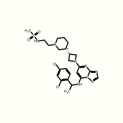 CC(Nc1cc(N2CC([C@H]3CCCN(CCNS(C)(=O)=O)C3)C2)nc2ncnn12)c1ccc(Cl)cc1Cl